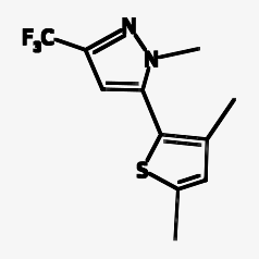 Cc1cc(C)c(-c2cc(C(F)(F)F)nn2C)s1